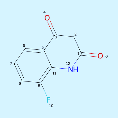 O=C1CC(=O)c2cccc(F)c2N1